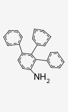 Nc1ccc(-c2ccccc2)c(-c2ccccc2)c1-c1ccccc1